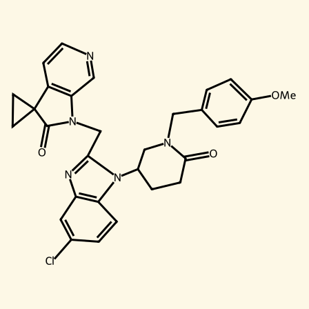 COc1ccc(CN2CC(n3c(CN4C(=O)C5(CC5)c5ccncc54)nc4cc(Cl)ccc43)CCC2=O)cc1